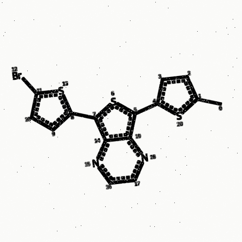 Cc1ccc(-c2sc(-c3ccc(Br)s3)c3nccnc23)s1